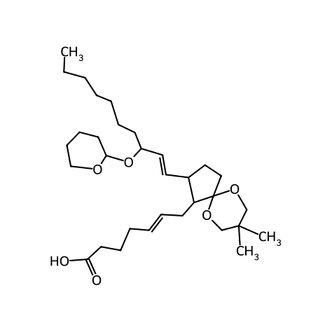 CCCCCCCC(C=CC1CCC2(OCC(C)(C)CO2)C1CC=CCCCC(=O)O)OC1CCCCO1